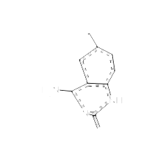 Nc1nc(=O)[nH]c2ccc(Cl)cc12